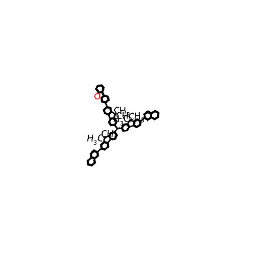 CC1(C)c2cc(-c3ccc4ccccc4c3)ccc2-c2ccc(C(c3ccc4c(c3)C(C)(C)c3cc(-c5ccc6ccccc6c5)ccc3-4)c3ccc4c(c3)C(C)(C)c3cc(-c5ccc6c(c5)oc5ccccc56)ccc3-4)cc21